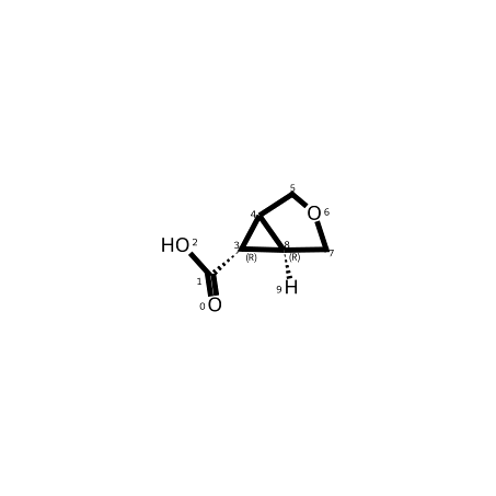 O=C(O)[C@@H]1C2COC[C@H]21